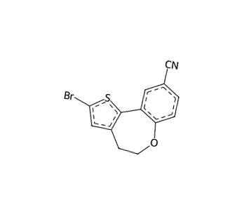 N#Cc1ccc2c(c1)-c1sc(Br)cc1CCO2